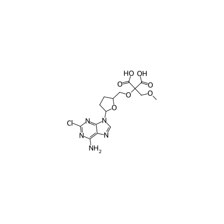 COCC(OCC1CCC(n2cnc3c(N)nc(Cl)nc32)O1)(C(=O)O)C(=O)O